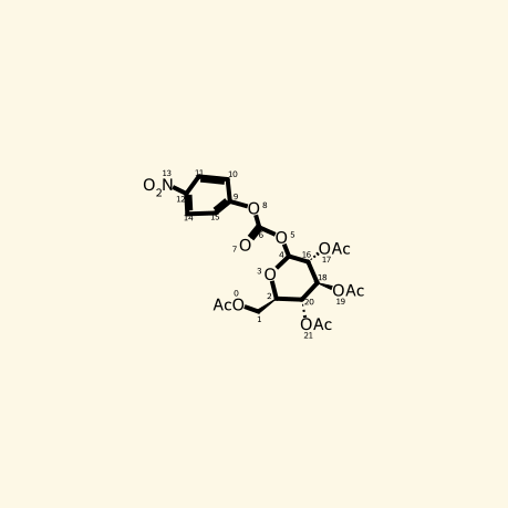 CC(=O)OC[C@H]1OC(OC(=O)Oc2ccc([N+](=O)[O-])cc2)[C@H](OC(C)=O)[C@@H](OC(C)=O)[C@@H]1OC(C)=O